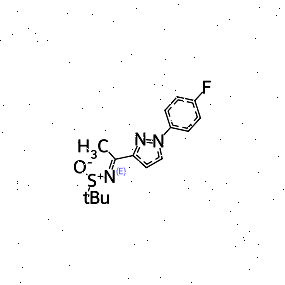 C/C(=N\[S+]([O-])C(C)(C)C)c1ccn(-c2ccc(F)cc2)n1